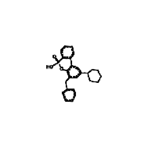 O=P1(O)Oc2c(Cc3ccccc3)cc(C3CCCCC3)cc2-c2ccccc21